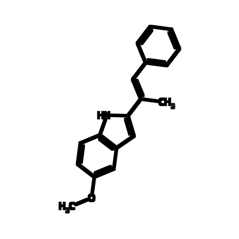 COc1ccc2[nH]c(C(C)=Cc3ccccc3)cc2c1